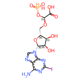 Nc1nc(I)nc2c1ncn2[C@@H]1O[C@H](CO[C@@H](O[PH](=O)O)C(=O)O)[C@@H](O)[C@H]1O